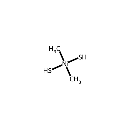 [CH3][Ni]([CH3])([SH])[SH]